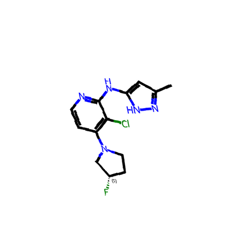 Cc1cc(Nc2nccc(N3CC[C@H](F)C3)c2Cl)[nH]n1